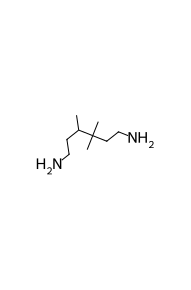 CC(CCN)C(C)(C)CCN